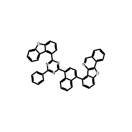 c1ccc(-c2nc(-c3ccc(-c4cccc5oc6c7ccccc7cnc6c45)c4ccccc34)nc(-c3cccc4oc5ccccc5c34)n2)cc1